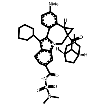 CNc1ccc2c(c1)[C@@H]1C[C@]1(C(=O)C1[C@@H]3CC[C@H]1CN(C)C3)Cn1c-2c(C2CCCCC2)c2ccc(C(=O)NS(=O)(=O)N(C)C)cc21